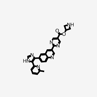 Cc1cccc(-c2[nH]cnc2-c2ccc3ncc(-c4ncc(C(=O)OC5CNC5)cn4)cc3c2)n1